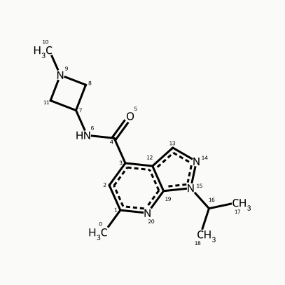 Cc1cc(C(=O)NC2CN(C)C2)c2cnn(C(C)C)c2n1